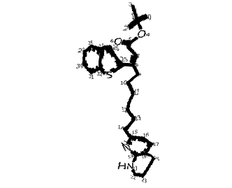 CC(C)(C)OC(=O)/C=C(/CCCCCCc1ccc2c(n1)NCCC2)c1cc2ccccc2s1